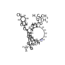 CC(C)(C)OC(=O)N[C@H]1CCCCC/C=C\[C@@H]2C[C@@]2(C(=O)NS(=O)(=O)C2CC2)NC(=O)[C@@H]2C[C@@H](Oc3nc4ccc(Cl)cc4o3)CN2C1=O